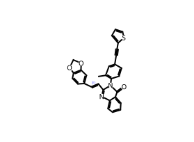 Cc1cc(C#Cc2cccs2)ccc1-n1c(/C=C/c2ccc3c(c2)OCO3)nc2ccccc2c1=O